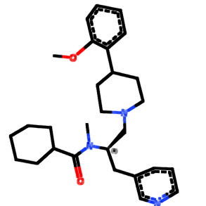 COc1ccccc1C1CCN(C[C@@H](Cc2cccnc2)N(C)C(=O)C2CCCCC2)CC1